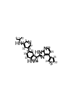 CC(C)Nc1cncc(-c2ccc3[nH]nc(-c4nc5c(-c6ccsc6)ccnc5[nH]4)c3c2)c1